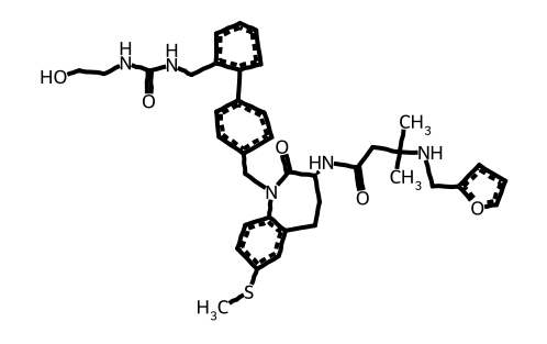 CSc1ccc2c(c1)CC[C@@H](NC(=O)CC(C)(C)NCc1ccco1)C(=O)N2Cc1ccc(-c2ccccc2CNC(=O)NCCO)cc1